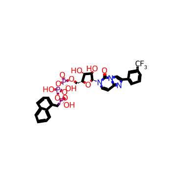 O=c1n([C@@H]2O[C@H](COP(=O)(O)OP(=O)(O)OP(=O)(O)Cc3cccc4ccccc34)[C@H](O)C2O)ccc2nc(-c3cccc(C(F)(F)F)c3)cn12